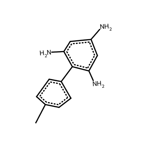 Cc1ccc(-c2c(N)cc(N)cc2N)cc1